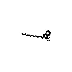 CCCCCCCCCCCC[S+]1CC(=O)c2ccccc2C1